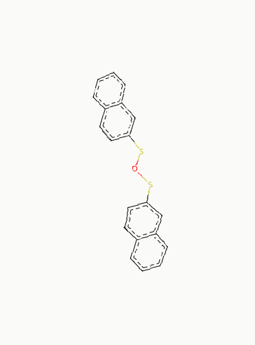 c1ccc2cc(SOSc3ccc4ccccc4c3)ccc2c1